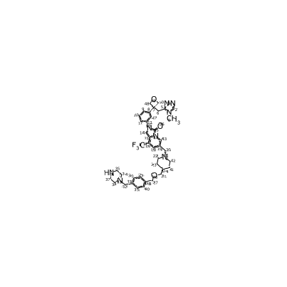 Cn1cnnc1CC1(c2cccc(-n3cc4c(C(F)(F)F)cc(CN5CCC(COCc6ccc(CN7CCNCC7)cc6)CC5)cn4c3=O)c2)COC1